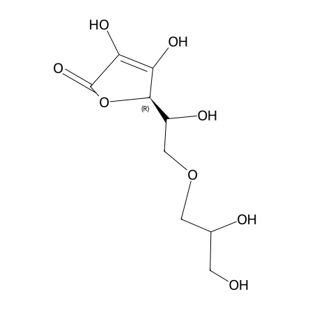 O=C1O[C@H](C(O)COCC(O)CO)C(O)=C1O